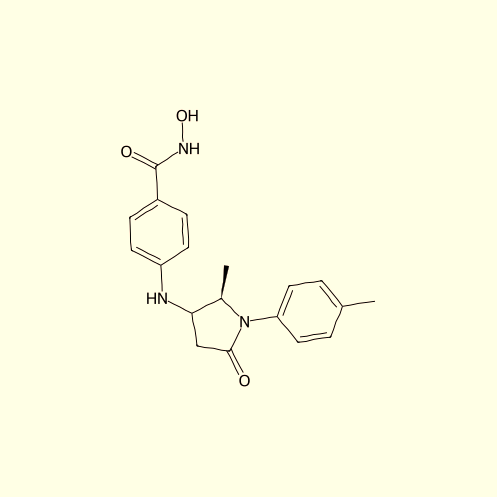 Cc1ccc(N2C(=O)CC(Nc3ccc(C(=O)NO)cc3)[C@H]2C)cc1